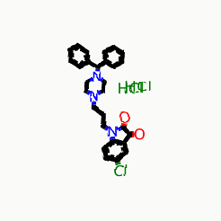 Cl.Cl.O=C1C(=O)N(CCCN2CCN(C(c3ccccc3)c3ccccc3)CC2)c2ccc(Cl)cc21